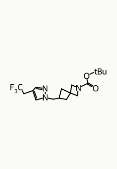 CC(C)(C)OC(=O)N1CC2(CC(Cn3cc(CC(F)(F)F)cn3)C2)C1